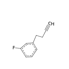 C#CCCc1cccc(F)c1